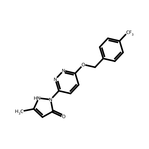 Cc1cc(=O)n(-c2ccc(OCc3ccc(C(F)(F)F)cc3)nn2)[nH]1